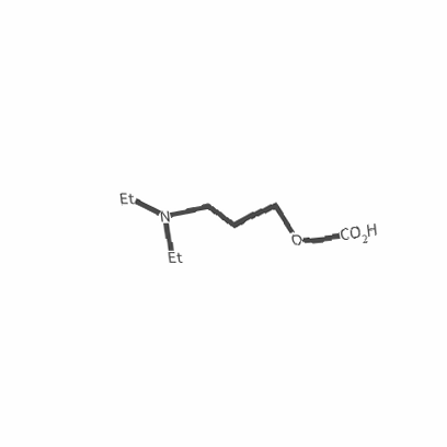 CCN(CC)CCCOC(=O)O